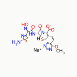 COc1ncncc1/C=C\C1=C(C(=O)[O-])N2C(=O)[C@@H](NC(=O)/C(=N\O)c3csc(N)n3)[C@@H]2SC1.[Na+]